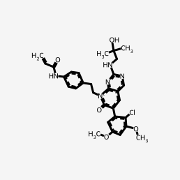 C=CC(=O)Nc1ccc(CCn2c(=O)c(-c3cc(OC)cc(OC)c3Cl)cc3cnc(NCC(C)(C)O)nc32)cc1